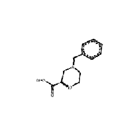 COC(=O)[C@H]1CN(Cc2ccccc2)CCO1